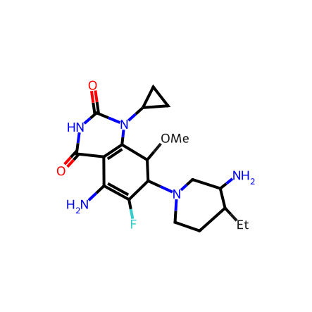 CCC1CCN(C2C(F)=C(N)c3c(n(C4CC4)c(=O)[nH]c3=O)C2OC)CC1N